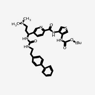 CN(C)CCC(NC(=O)NCCc1ccc(-c2ccccc2)cc1)c1ccc(C(=O)Nc2cscc2NC(=O)OC(C)(C)C)nc1